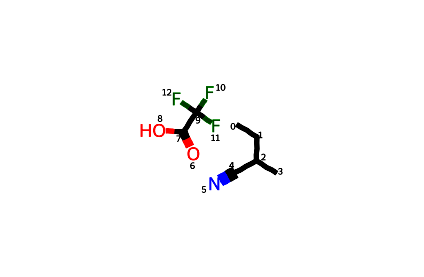 CCC(C)C#N.O=C(O)C(F)(F)F